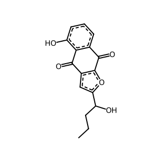 CCCC(O)c1cc2c(o1)C(=O)c1cccc(O)c1C2=O